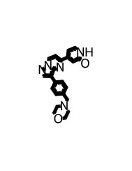 O=c1cc(-c2ccn3ncc(-c4ccc(CN5CCOCC5)cc4)c3n2)cc[nH]1